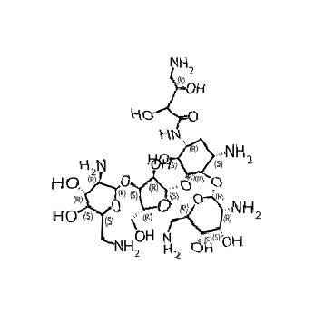 NC[C@@H](O)C(O)C(=O)N[C@@H]1C[C@H](N)[C@@H](O[C@H]2O[C@H](CN)[C@@H](O)[C@@H](O)[C@H]2N)[C@H](O[C@@H]2O[C@H](CO)[C@@H](O[C@H]3O[C@@H](CN)[C@@H](O)[C@H](O)[C@H]3N)[C@H]2O)[C@H]1O